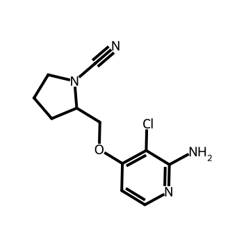 N#CN1CCCC1COc1ccnc(N)c1Cl